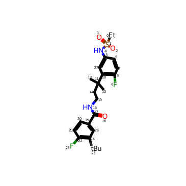 CCS(=O)(=O)Nc1ccc(F)c(C(C)(C)CCNC(=O)c2ccc(F)c(C(C)(C)C)c2)c1